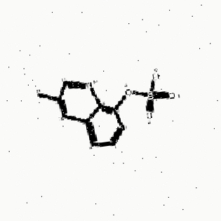 CCS(=O)(=O)Oc1cccc2cc(C)cnc12